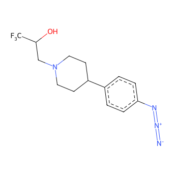 [N-]=[N+]=Nc1ccc(C2CCN(CC(O)C(F)(F)F)CC2)cc1